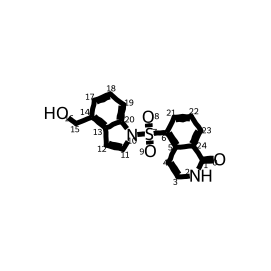 O=c1[nH]ccc2c(S(=O)(=O)n3ccc4c(CO)cccc43)cccc12